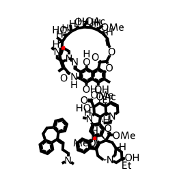 CC[C@]1(O)C[C@@H]2C[N@@](CCc3c([nH]c4ccccc34)[C@@](C(=O)OC)(c3cc4c(cc3OC)N(C)[C@H]3[C@@](O)(C(=O)OC)[C@H](OC(C)=O)[C@]5(CC)C=CCN6CC[C@]43[C@@H]65)C2)C1.CN(C)CCC=C1c2ccccc2CCc2ccccc21.CO[C@H]1/C=C/O[C@@]2(C)Oc3c(C)c(O)c4c(O)c(c(/C=N/N5CCN(C)CC5)c(O)c4c3C2=O)NC(=O)/C(C)=C\C=C\[C@H](C)[C@H](O)[C@@H](C)[C@@H](O)[C@@H](C)[C@H](OC(C)=O)[C@@H]1C